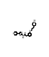 O=C(Cc1cccc(OCCCC2CCNCC2)c1)Nc1nc(-c2ccncc2)cs1